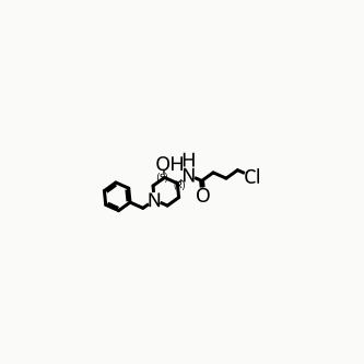 O=C(CCCCl)N[C@@H]1CCN(Cc2ccccc2)C[C@@H]1O